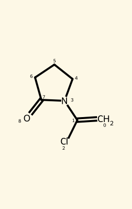 C=C(Cl)N1CCCC1=O